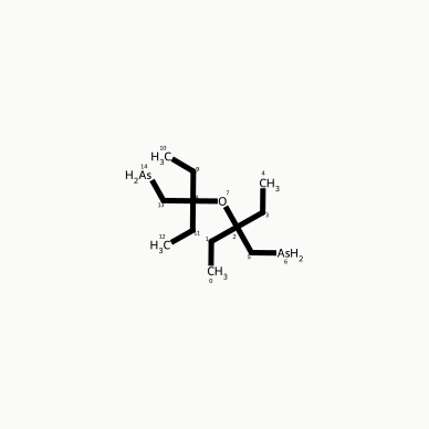 CCC(CC)(C[AsH2])OC(CC)(CC)C[AsH2]